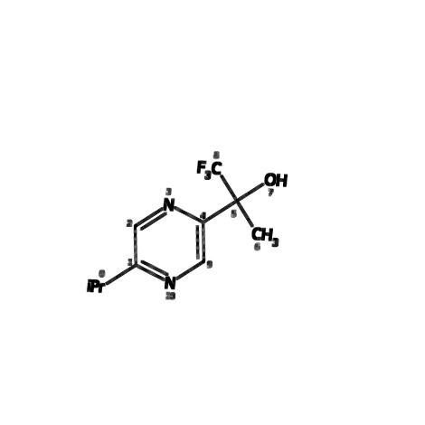 CC(C)c1cnc(C(C)(O)C(F)(F)F)cn1